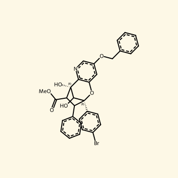 COC(=O)C1C(c2ccccc2)[C@]2(c3ccc(Br)cc3)Oc3cc(OCc4ccccc4)cnc3[C@@]1(O)C2O